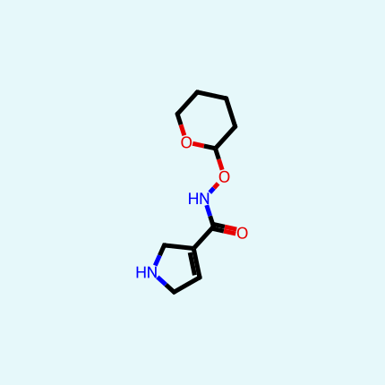 O=C(NOC1CCCCO1)C1=CCNC1